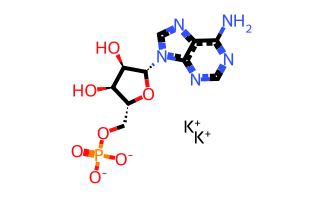 Nc1ncnc2c1ncn2[C@@H]1O[C@H](COP(=O)([O-])[O-])[C@@H](O)[C@H]1O.[K+].[K+]